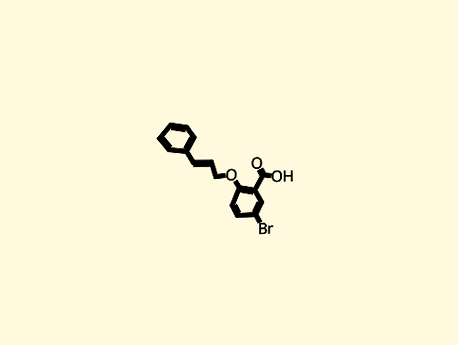 O=C(O)c1cc(Br)ccc1OCC=Cc1ccccc1